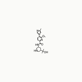 COc1nc(C(=O)NC2CNCC(C(C)(C)O)C2)ccc1-n1cnc(C)c1